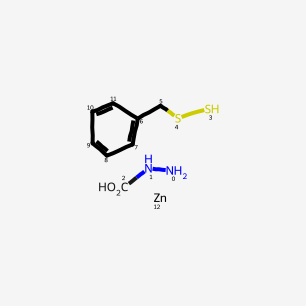 NNC(=O)O.SSCc1ccccc1.[Zn]